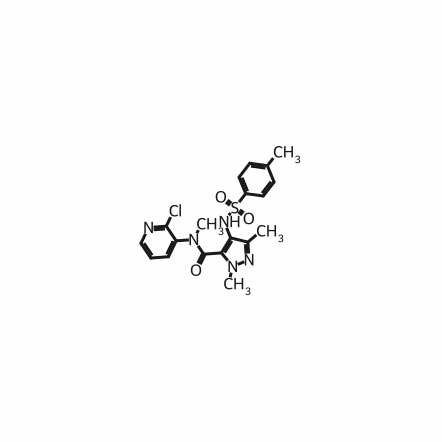 Cc1ccc(S(=O)(=O)Nc2c(C)nn(C)c2C(=O)N(C)c2cccnc2Cl)cc1